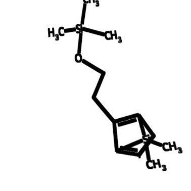 C[Si](C)(C)OCCC1=C2C[C]=C1[Si]2(C)C